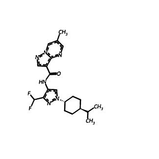 Cc1cnc2c(C(=O)Nc3cn([C@H]4CC[C@H](C(C)C)CC4)nc3C(F)F)cnn2c1